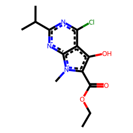 CCOC(=O)c1c(O)c2c(Cl)nc(C(C)C)nc2n1C